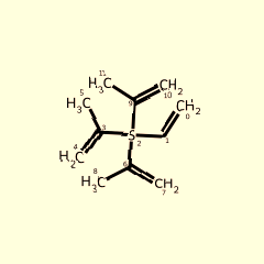 C=CS(C(=C)C)(C(=C)C)C(=C)C